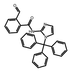 O=Cc1ccccc1C(=O)Nc1nccn1C(c1ccccc1)(c1ccccc1)c1ccccc1